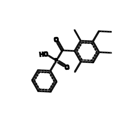 CCc1c(C)cc(C)c(C(=O)P(=O)(O)c2ccccc2)c1C